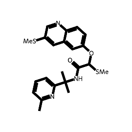 CSc1cnc2ccc(OC(SC)C(=O)NC(C)(C)c3cccc(C)n3)cc2c1